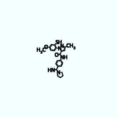 COc1ccc(-n2nc(C)cc2C(=O)Nc2ccc(C(=N)N3CCCC3)cc2)c(S)c1